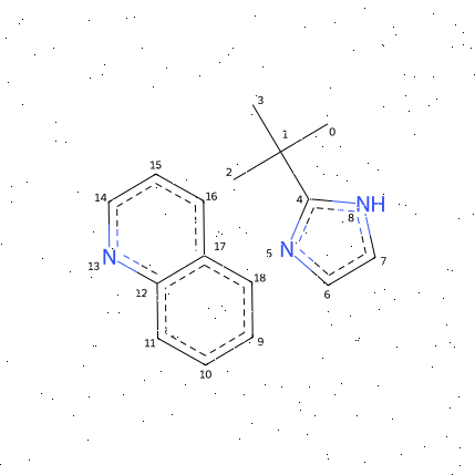 CC(C)(C)c1ncc[nH]1.c1ccc2ncccc2c1